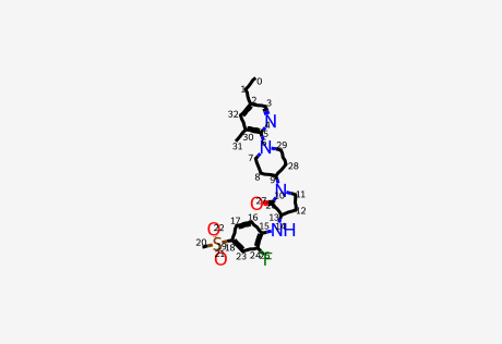 CCc1cnc(N2CCC(N3CCC(Nc4ccc(S(C)(=O)=O)cc4F)C3=O)CC2)c(C)c1